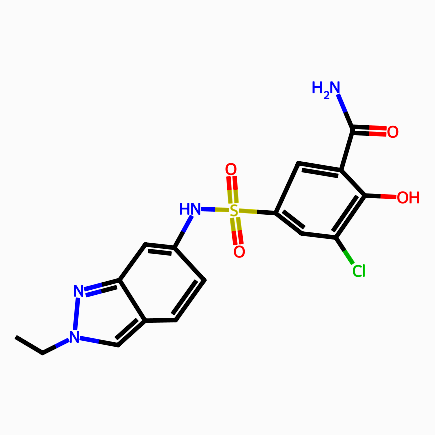 CCn1cc2ccc(NS(=O)(=O)c3cc(Cl)c(O)c(C(N)=O)c3)cc2n1